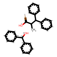 CC(C(O)=S)C(c1ccccc1)c1ccccc1.OC(c1ccccc1)c1ccccc1